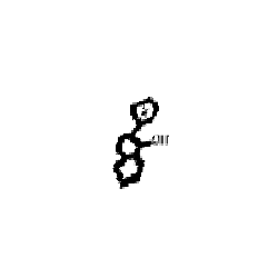 Oc1c(C23CCC(CC2)CC3)ccc2ccccc12